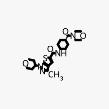 Cc1nn(C2CCOCC2)c2sc(C(=O)N[C@H]3CC[C@H](C(=O)N4CCOCC4)CC3)cc12